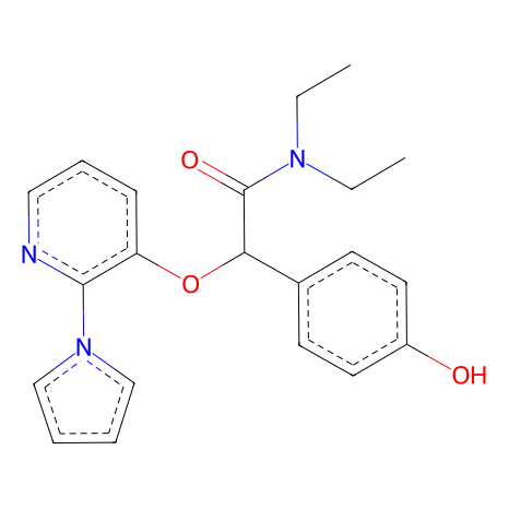 CCN(CC)C(=O)C(Oc1cccnc1-n1cccc1)c1ccc(O)cc1